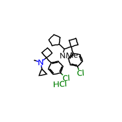 CN(C1CC1)C1(c2ccc(Cl)cc2)CCC1.CNC(C1CCCC1)C1(c2ccc(Cl)cc2)CCC1.Cl